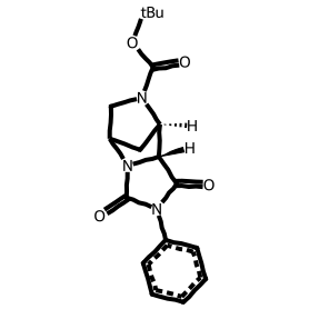 CC(C)(C)OC(=O)N1CC2C[C@@H]1[C@@H]1C(=O)N(c3ccccc3)C(=O)N21